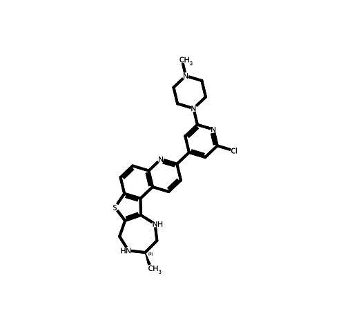 C[C@@H]1CNc2c(sc3ccc4nc(-c5cc(Cl)nc(N6CCN(C)CC6)c5)ccc4c23)CN1